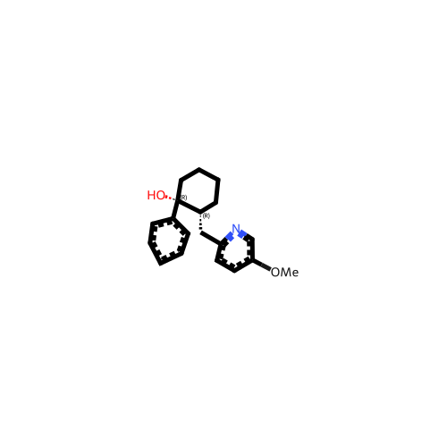 COc1ccc(C[C@H]2CCCC[C@]2(O)c2ccccc2)nc1